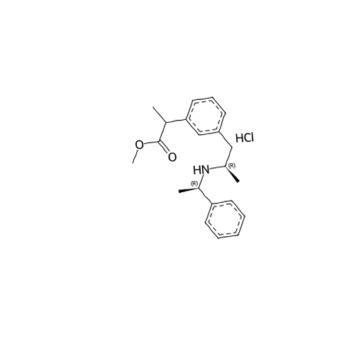 COC(=O)C(C)c1cccc(C[C@@H](C)N[C@H](C)c2ccccc2)c1.Cl